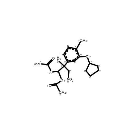 COC(=O)OC(OC(=O)OC)C(C)(C[N+](=O)[O-])c1ccc(OC)c(OC2CCCC2)c1